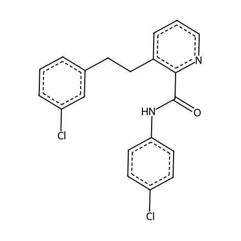 O=C(Nc1ccc(Cl)cc1)c1ncccc1CCc1cccc(Cl)c1